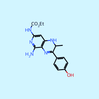 CCOC(=O)Nc1cc2c(c(N)n1)N=C(c1ccc(O)cc1)C(C)N2